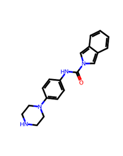 O=C(Nc1ccc(N2CCNCC2)cc1)n1cc2ccccc2c1